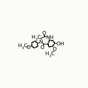 COc1ccc(N2C(=O)c3cc(OC)c(O)cc3NC(=O)C2C)cc1